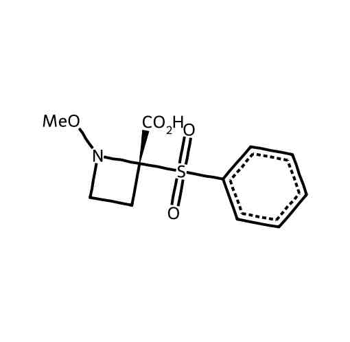 CON1CC[C@@]1(C(=O)O)S(=O)(=O)c1ccccc1